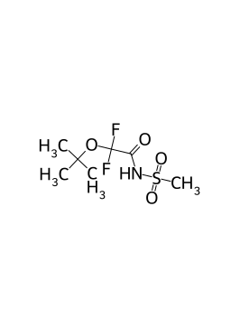 CC(C)(C)OC(F)(F)C(=O)NS(C)(=O)=O